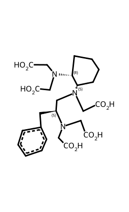 O=C(O)CN(CC(=O)O)[C@@H](Cc1ccccc1)CN(CC(=O)O)[C@H]1CCCC[C@H]1N(CC(=O)O)CC(=O)O